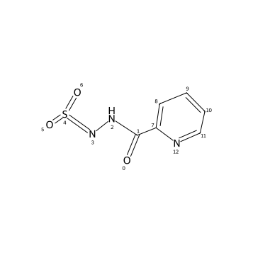 O=C(NN=S(=O)=O)c1ccccn1